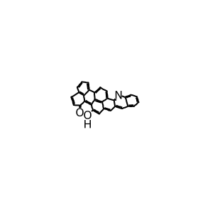 O=C1C=Cc2cccc3c2c1c1c(O)cc2cc4cc5ccccc5nc4c4ccc3c1c24